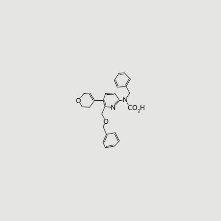 O=C(O)N(Cc1ccccc1)c1ccc(C2=CCOCC2)c(COCc2ccccc2)n1